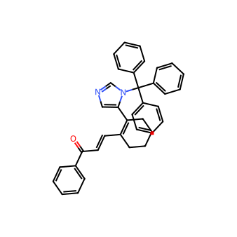 O=C(C=CC1=C(c2cncn2C(c2ccccc2)(c2ccccc2)c2ccccc2)CCCC1)c1ccccc1